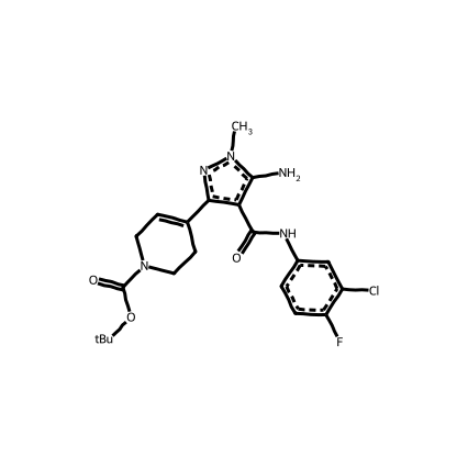 Cn1nc(C2=CCN(C(=O)OC(C)(C)C)CC2)c(C(=O)Nc2ccc(F)c(Cl)c2)c1N